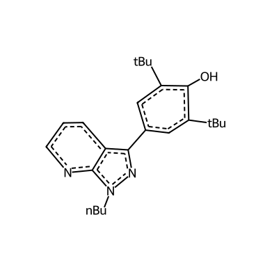 CCCCn1nc(-c2cc(C(C)(C)C)c(O)c(C(C)(C)C)c2)c2cccnc21